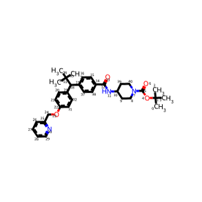 CC(C)(C)OC(=O)N1CCC(NC(=O)c2ccc(C(c3ccc(OCc4ccccn4)cc3)C(C)(C)C)cc2)CC1